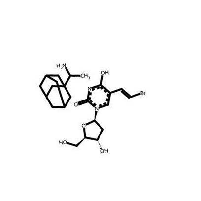 CC(N)C12CC3CC(CC(C3)C1)C2.O=c1nc(O)c(/C=C/Br)cn1[C@H]1C[C@H](O)[C@@H](CO)O1